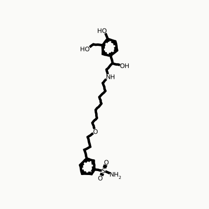 NS(=O)(=O)c1cccc(CCCOCCCCCCCNCC(O)c2ccc(O)c(CO)c2)c1